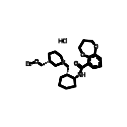 CCOC[C@@H]1CCCN(C[C@H]2CCCC[C@@H]2NC(=O)c2cccc3c2OCCCO3)C1.Cl